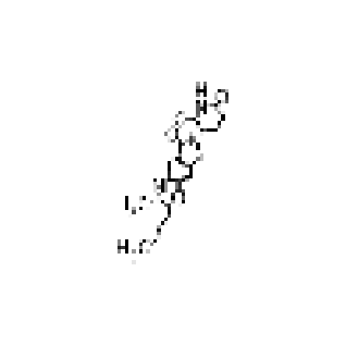 CCCCC(Oc1ccc2c(c1)CN(C1CCC(=O)NC1=O)C2=O)C(C)N